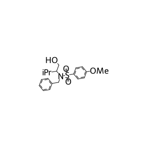 COc1ccc(S(=O)(=O)N(Cc2ccccc2)C(CO)C(C)C)cc1